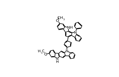 COc1ccc2c(c1)[nH]c1cc3c4ccccc4n(-c4ccc(-c5cc6c7ccc(OC)cc7[nH]c6c6c5c5ccccc5n6-c5ccccc5)cc4)c3cc12